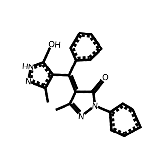 CC1=NN(c2ccccc2)C(=O)C1=C(c1ccccc1)c1c(C)n[nH]c1O